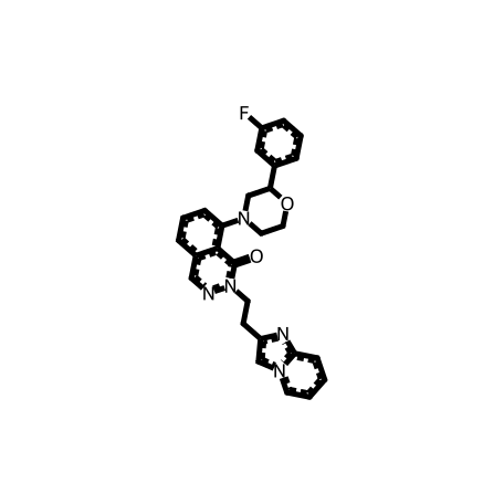 O=c1c2c(N3CCOC(c4cccc(F)c4)C3)cccc2cnn1CCc1cn2ccccc2n1